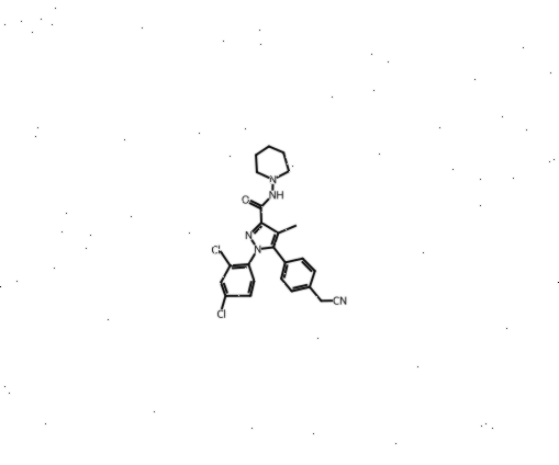 Cc1c(C(=O)NN2CCCCC2)nn(-c2ccc(Cl)cc2Cl)c1-c1ccc(CC#N)cc1